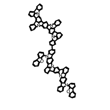 c1ccc2c(c1)oc1c(-n3c4ccccc4c4cc5c(cc43)c3cccc4c6cc7c(cc6n5c34)c3cccc4c5cc6c(cc5n7c43)c3ccc(-c4ccc5c(c4)c4cccc7c8c9c%10ccccc%10n%10c%11cc%12c%13cc%14c(c%15cccc%16c%17ccccc%17n%14c%16%15)c%14c%15ccccc%15n(c%12cc%11c(cc8n5c47)c9%10)c%13%14)cc3n6-c3cccc4c3oc3ccccc34)cccc12